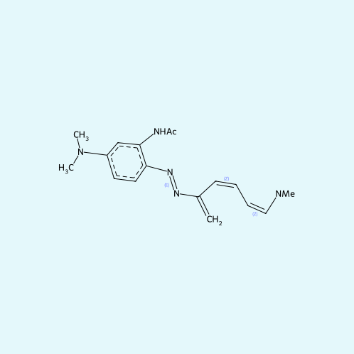 C=C(/C=C\C=C/NC)/N=N/c1ccc(N(C)C)cc1NC(C)=O